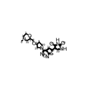 CN1CCOC(COC2CCN(c3ncnc4sc(-c5c[nH]c(=O)[nH]c5=O)cc34)C2)C1